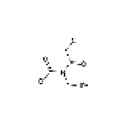 CC(C)CN(C(=O)Cl)C(=O)CCl